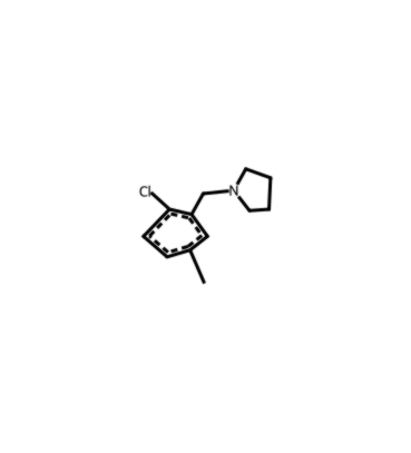 Cc1ccc(Cl)c(CN2CCCC2)c1